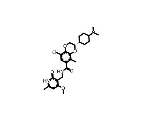 COc1cc(C)[nH]c(=O)c1CNC(=O)c1cc(Cl)c2c(c1C)O[C@@H](C1CCC(N(C)C)CC1)CO2